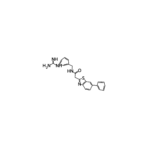 N=C(N)Nc1cccc(CNC(=O)Cc2nc3ccc(-c4ccccc4)cc3s2)c1